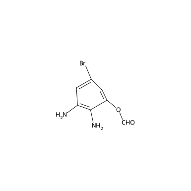 Nc1cc(Br)cc(OC=O)c1N